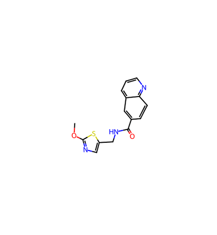 COc1ncc(CNC(=O)c2ccc3ncccc3c2)s1